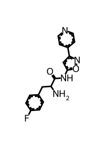 NC(Cc1ccc(F)cc1)C(=O)Nc1cc(-c2ccncc2)no1